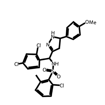 COc1ccc(C2CC(C(NS(=O)(=O)c3c(C)cccc3Cl)c3ccc(Cl)cc3Cl)=NN2)cc1